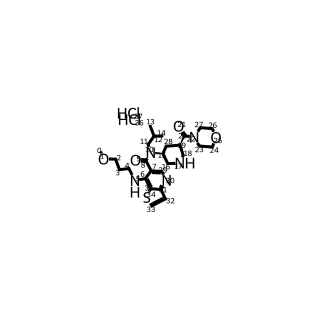 COCCCNc1c(C(=O)N(CC(C)C)[C@@H]2CNC[C@H](C(=O)N3CCOCC3)C2)cnc2ccsc12.Cl.Cl